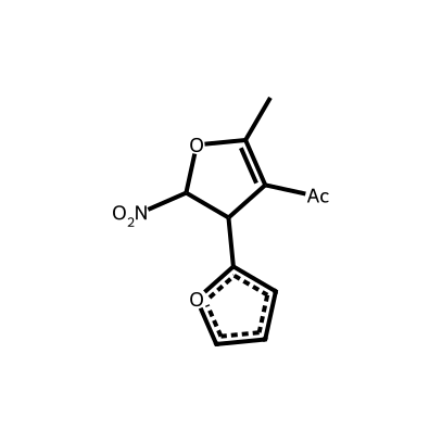 CC(=O)C1=C(C)OC([N+](=O)[O-])C1c1ccco1